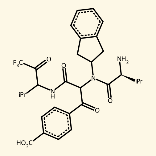 CC(C)C(NC(=O)C(C(=O)c1ccc(C(=O)O)cc1)N(C(=O)[C@@H](N)C(C)C)C1Cc2ccccc2C1)C(=O)C(F)(F)F